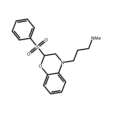 CNCCCN1CC(S(=O)(=O)c2ccccc2)Oc2ccccc21